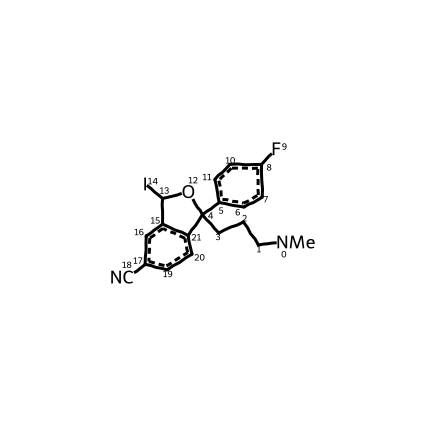 CNCCCC1(c2ccc(F)cc2)OC(I)c2cc(C#N)ccc21